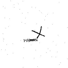 CC(C)(C)[N]=[AlH]